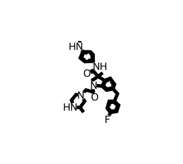 CNc1ccc(NC(=O)C2(C)CN(C(=O)CN3CCNC(C)C3)c3cc(Cc4ccc(F)cc4)ccc32)cc1